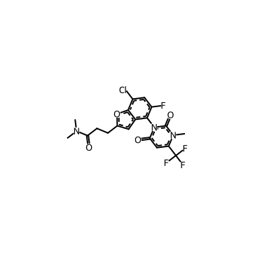 CN(C)C(=O)CCc1cc2c(-n3c(=O)cc(C(F)(F)F)n(C)c3=O)c(F)cc(Cl)c2o1